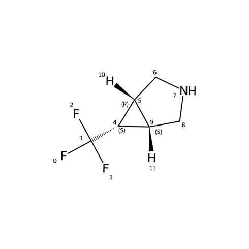 FC(F)(F)[C@@H]1[C@@H]2CNC[C@@H]21